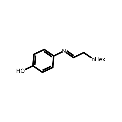 CCCCCCCC=Nc1ccc(O)cc1